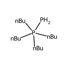 CCCCP(P)(CCCC)(CCCC)CCCC